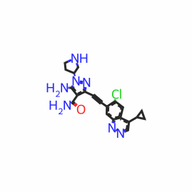 NC(=O)c1c(C#Cc2cc3nncc(C4CC4)c3cc2Cl)nn([C@H]2CCNC2)c1N